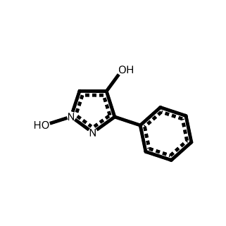 Oc1cn(O)nc1-c1ccccc1